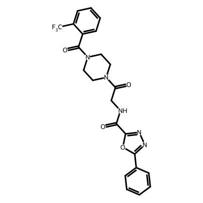 O=C(NCC(=O)N1CCN(C(=O)c2ccccc2C(F)(F)F)CC1)c1nnc(-c2ccccc2)o1